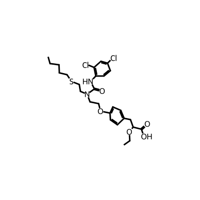 CCCCCSCCN(CCOc1ccc(CC(OCC)C(=O)O)cc1)C(=O)Nc1ccc(Cl)cc1Cl